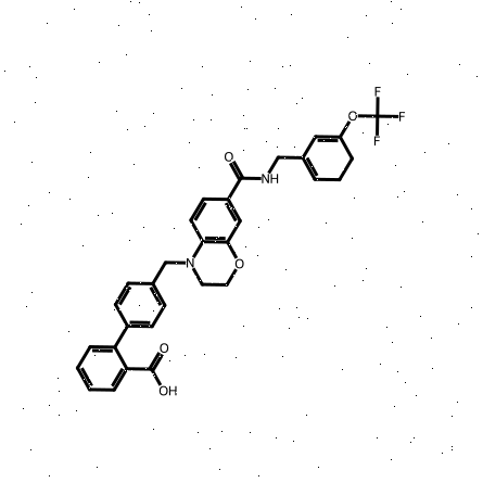 O=C(NCC1=CCCC(OC(F)(F)F)=C1)c1ccc2c(c1)OCCN2Cc1ccc(-c2ccccc2C(=O)O)cc1